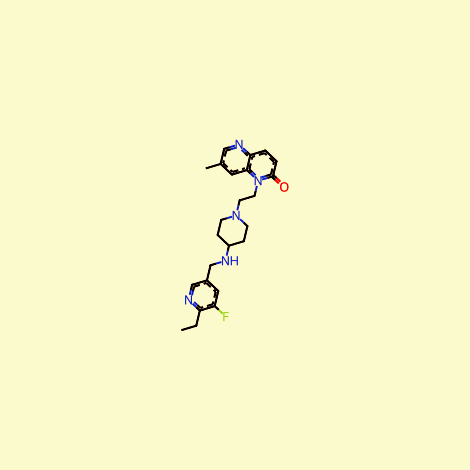 CCc1ncc(CNC2CCN(CCn3c(=O)ccc4ncc(C)cc43)CC2)cc1F